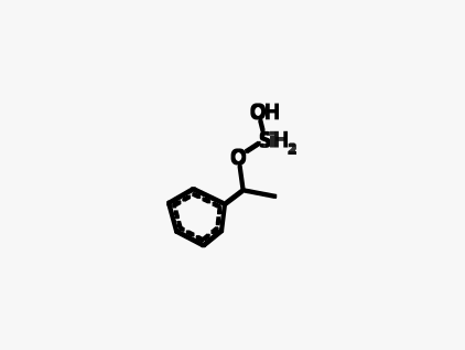 CC(O[SiH2]O)c1ccccc1